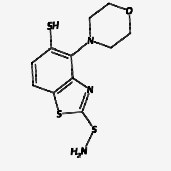 NSc1nc2c(N3CCOCC3)c(S)ccc2s1